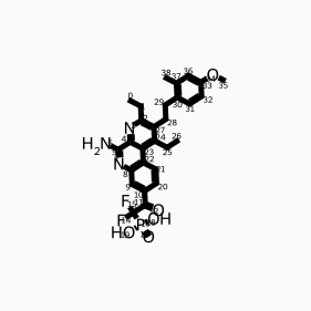 CCc1nc2c(N)nc3cc(C(=O)C(F)(F)P(=O)(O)O)ccc3c2c(CC)c1CCc1ccc(OC)cc1C